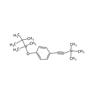 CC(C)(C)[Si](C)(C)Oc1ccc(C#C[Si](C)(C)C)cc1